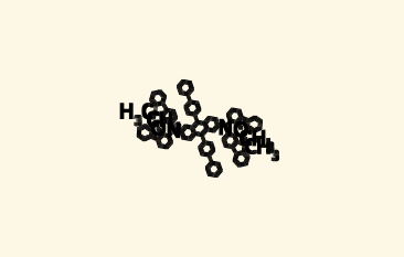 CC1(C)c2ccccc2-c2ccc(N(c3ccc4c(-c5ccc(-c6ccccc6)cc5)c5cc(N(c6ccc7c(c6)C(C)(C)c6ccccc6-7)c6cccc7c6oc6ccccc67)ccc5c(-c5ccc(-c6ccccc6)cc5)c4c3)c3cccc4c3oc3ccccc34)cc21